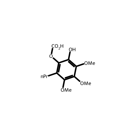 CCCc1c(OC(=O)O)c(O)c(OC)c(OC)c1OC